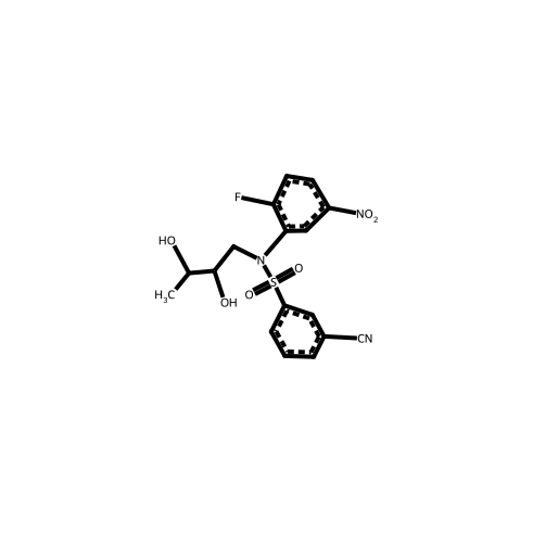 CC(O)C(O)CN(c1cc([N+](=O)[O-])ccc1F)S(=O)(=O)c1cccc(C#N)c1